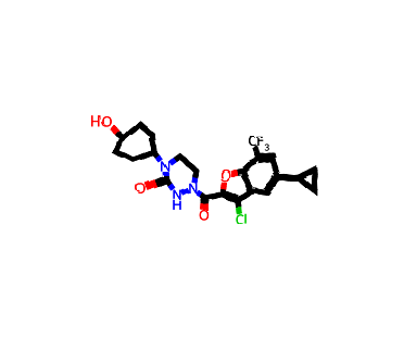 O=C(C1=C(Cl)C2C=C(C3CC3)C=C(C(F)(F)F)C2O1)N1CCN(C2CCC(O)CC2)C(=O)N1